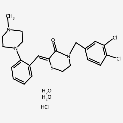 CN1CCN(c2ccccc2C=C2SCCN(Cc3ccc(Cl)c(Cl)c3)C2=O)CC1.Cl.O.O